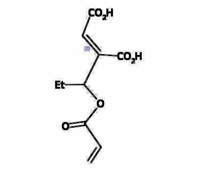 C=CC(=O)OC(CC)/C(=C/C(=O)O)C(=O)O